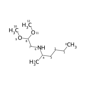 CCCCC(C)NCC(OC)OC